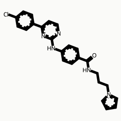 O=C(NCCCn1cccc1)c1ccc(Nc2nccc(-c3ccc(Cl)cc3)n2)cc1